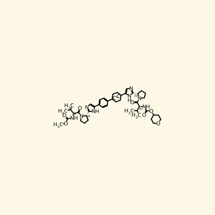 COC(=O)N[C@H](C(=O)N1CCC[C@H]1c1ncc(-c2ccc(C34CCC(c5cnc([C@@H]6CCCN6C(=O)[C@@H](NC(=O)OC6CCOCC6)C(C)C)[nH]5)(CC3)CC4)cc2)[nH]1)C(C)C